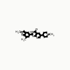 Cc1cc(-c2nc3ncc(C4CCN(C)CC4)cc3c(=O)[nH]2)cc2cn(C)nc12